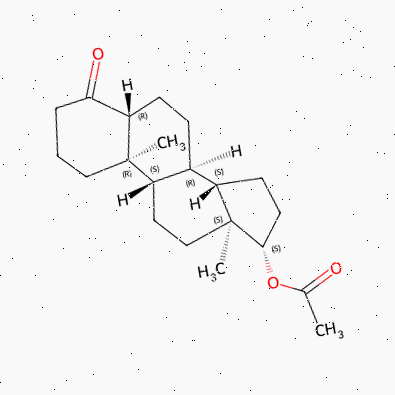 CC(=O)O[C@H]1CC[C@H]2[C@@H]3CC[C@H]4C(=O)CCC[C@]4(C)[C@H]3CC[C@]12C